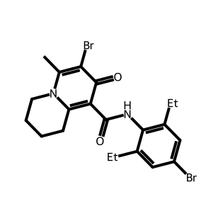 CCc1cc(Br)cc(CC)c1NC(=O)c1c2n(c(C)c(Br)c1=O)CCCC2